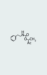 CC(=O)C(C)OC(=O)NCCc1ccccc1